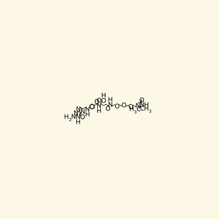 CC1(C)NC(=O)CN1CCOCCOCCOCCNC(=O)CCC(NC(=O)c1ccc(NCc2cnc3nc(N)[nH]c(=O)c3n2)cc1)C(=O)O